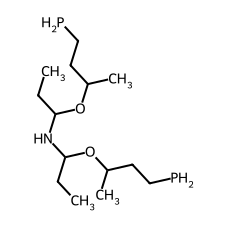 CCC(NC(CC)OC(C)CCP)OC(C)CCP